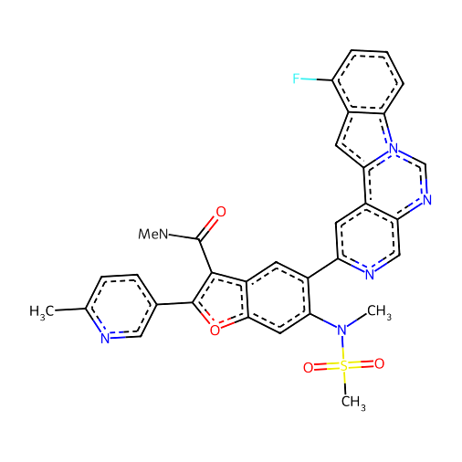 CNC(=O)c1c(-c2ccc(C)nc2)oc2cc(N(C)S(C)(=O)=O)c(-c3cc4c(cn3)ncn3c5cccc(F)c5cc43)cc12